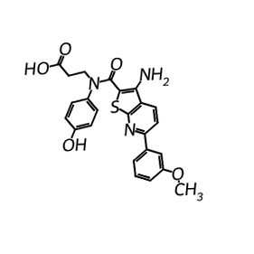 COc1cccc(-c2ccc3c(N)c(C(=O)N(CCC(=O)O)c4ccc(O)cc4)sc3n2)c1